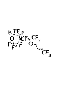 FC(F)(F)/C=C/CO[C](=[Cf][N]1C(F)(F)C(F)(F)OC(F)(F)C1(F)F)C(F)(F)F